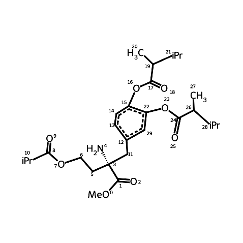 COC(=O)[C@@](N)(CCOC(=O)C(C)C)Cc1ccc(OC(=O)C(C)C(C)C)c(OC(=O)C(C)C(C)C)c1